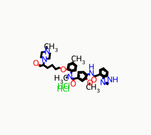 COc1cc(C(=O)N(C)c2ccc(C)cc2OCCCCC(C=O)N2CCN(C)CC2)ccc1NC(=O)c1cccc2[nH]cnc12.Cl.Cl